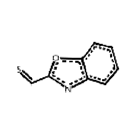 S=[C]c1nc2ccccc2o1